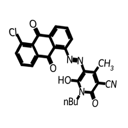 CCCCn1c(O)c(/N=N/c2cccc3c2C(=O)c2cccc(Cl)c2C3=O)c(C)c(C#N)c1=O